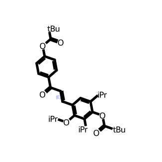 CC(C)Oc1c(/C=C/C(=O)c2ccc(OC(=O)C(C)(C)C)cc2)cc(C(C)C)c(OC(=O)C(C)(C)C)c1C(C)C